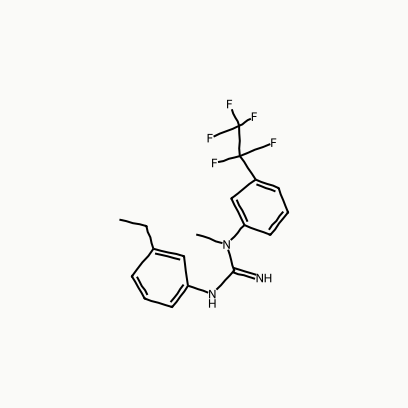 CCc1cccc(NC(=N)N(C)c2cccc(C(F)(F)C(F)(F)F)c2)c1